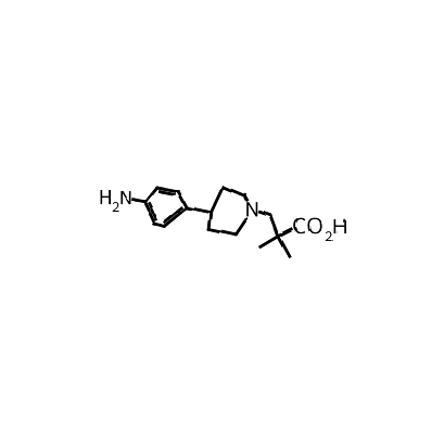 CC(C)(CN1CCC(c2ccc(N)cc2)CC1)C(=O)O